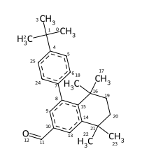 CC(C)(C)c1ccc(-c2cc(C=O)cc3c2C(C)(C)CCC3(C)C)cc1